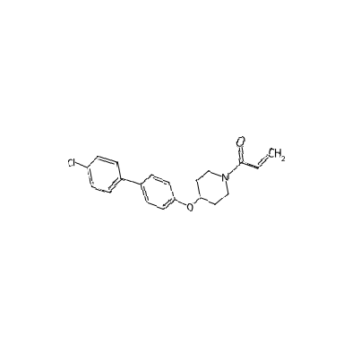 C=CC(=O)N1CCC(Oc2ccc(-c3ccc(Cl)cc3)cc2)CC1